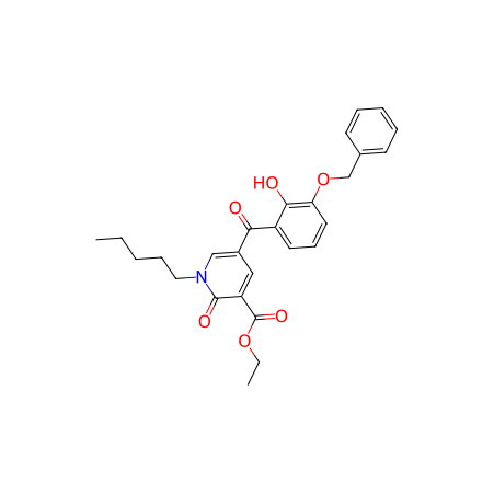 CCCCCn1cc(C(=O)c2cccc(OCc3ccccc3)c2O)cc(C(=O)OCC)c1=O